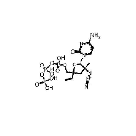 C=C[C@@]1(COP(=O)(O)OP(=O)(O)OP(=O)(O)O)C[C@@](C)(N=[N+]=[N-])[C@H](n2ccc(N)nc2=O)O1